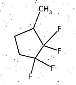 CC1CCC(F)(F)C1(F)F